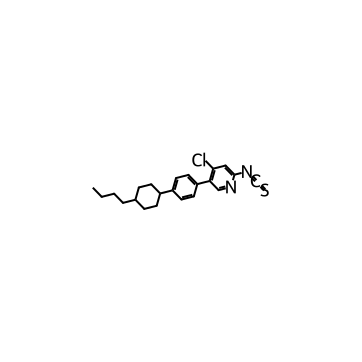 CCCCC1CCC(c2ccc(-c3cnc(N=C=S)cc3Cl)cc2)CC1